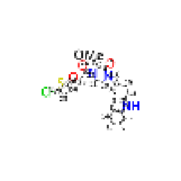 COCC1C(=O)N(CC2CCC(Nc3ccccc3)CC2)CCN1C(=O)COc1ccc(Cl)s1